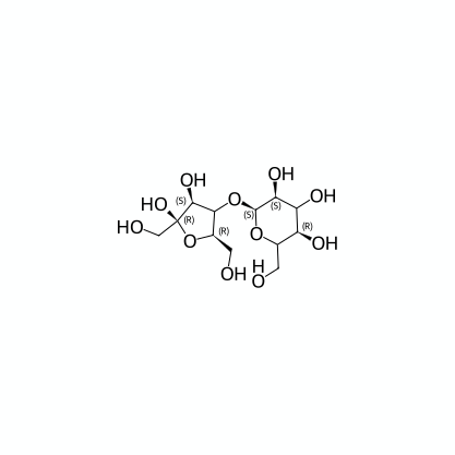 OCC1O[C@@H](OC2[C@@H](CO)O[C@](O)(CO)[C@H]2O)[C@@H](O)C(O)[C@H]1O